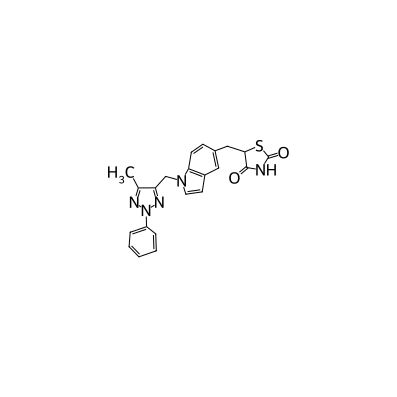 Cc1nn(-c2ccccc2)nc1Cn1ccc2cc(CC3SC(=O)NC3=O)ccc21